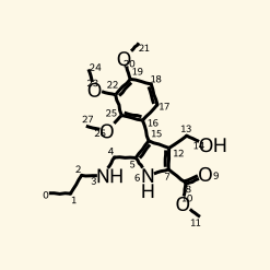 CCCNCc1[nH]c(C(=O)OC)c(CO)c1-c1ccc(OC)c(OC)c1OC